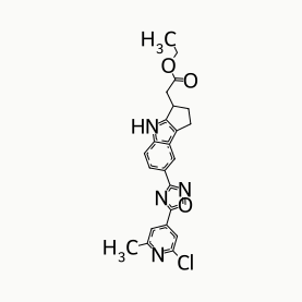 CCOC(=O)CC1CCc2c1[nH]c1ccc(-c3noc(-c4cc(C)nc(Cl)c4)n3)cc21